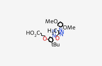 COc1ccc(OC)c(-n2nnc(C(=O)Nc3cc(OCCCC(=O)O)cc(C(C)(C)C)c3)c2C)c1